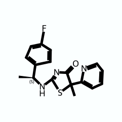 C[C@H](NC1=NC(=O)C(C)(c2ccccn2)S1)c1ccc(F)cc1